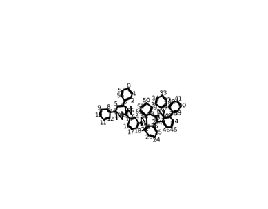 c1ccc(-c2cc(-c3ccccc3)nc(-c3cccc(N4c5ccccc5-c5c(n(-c6ccccc6)c6c(-c7ccccc7)cccc56)-c5ccccc54)c3)n2)cc1